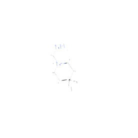 CC1(C)CCN(CN)CC1